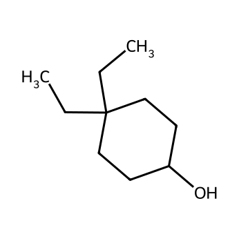 CCC1(CC)CCC(O)CC1